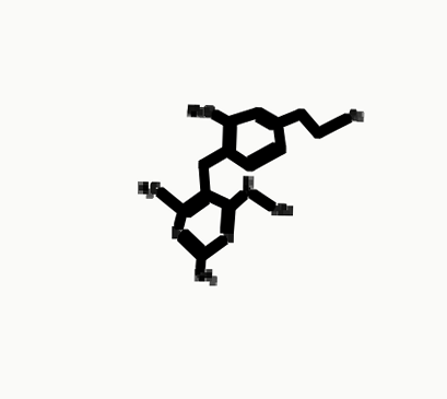 CCCCNc1nc(N)nc(C)c1Cc1ccc(CCC(C)=O)cc1OC